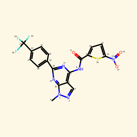 Cn1ncc2c(NC(=O)c3ccc([N+](=O)[O-])s3)nc(-c3ccc(C(F)(F)F)cc3)nc21